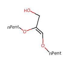 CCCCCOC=C(CO)OCCCCC